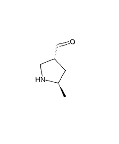 C[C@@H]1C[C@@H](C=O)CN1